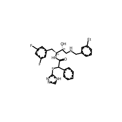 CCc1cccc(CNC[C@@H](O)[C@H](Cc2cc(F)cc(F)c2)NC(=O)C(Sc2nnc[nH]2)c2ccccc2)c1